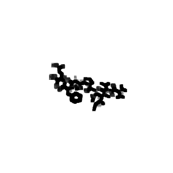 CC[C@H](C)[C@@H]([C@@H](CC(=O)N1CCC[C@H]1[C@H](OC)[C@@H](C)C(=O)N[C@@H](Cc1ccccc1)C(=O)NC(CCC(=O)O)C(=O)O)OC)N(C)C(=O)[C@@H](NC(=O)[C@H](C(C)C)N(C)C)C(C)C